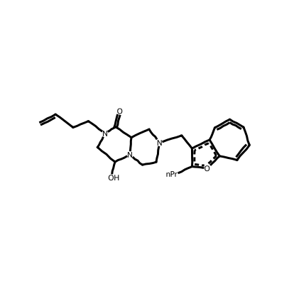 C=CCCN1CC(O)N2CCN(Cc3c(CCC)oc4c3C=C=CC=C4)CC2C1=O